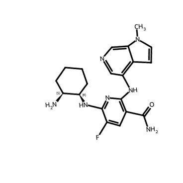 Cn1ccc2c(Nc3nc(N[C@@H]4CCCC[C@@H]4N)c(F)cc3C(N)=O)cncc21